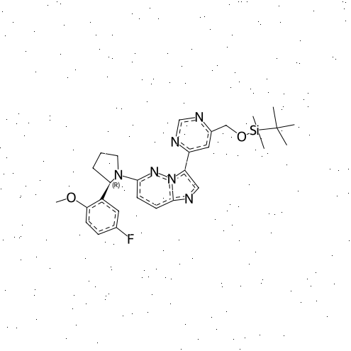 COc1ccc(F)cc1[C@H]1CCCN1c1ccc2ncc(-c3cc(CO[Si](C)(C)C(C)(C)C)ncn3)n2n1